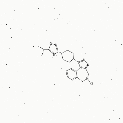 CC(C)c1nc(C2CCC(c3nnc4n3-c3ccccc3CN(Cl)C4)CC2)no1